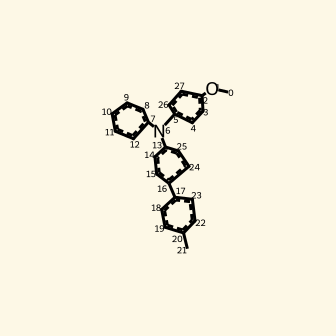 COc1ccc(N(c2ccccc2)c2ccc(-c3ccc(C)cc3)cc2)cc1